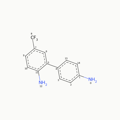 Nc1ccc(-c2cc(C(F)(F)F)ccc2N)cc1